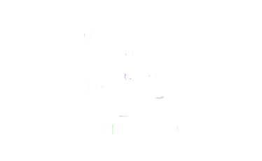 O=C1CO[C@H](c2ccc(Cl)cc2)[C@H](c2ccc(Cl)cc2)N1[C@H](CO)c1ccc(Cl)cc1